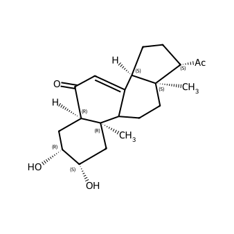 CC(=O)[C@H]1CC[C@@H]2C3=CC(=O)[C@@H]4C[C@@H](O)[C@@H](O)C[C@]4(C)C3CC[C@]12C